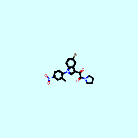 Cc1cc([N+](=O)[O-])ccc1-n1cc(C(=O)C(=O)N2CCCC2)c2cc(Br)ccc21